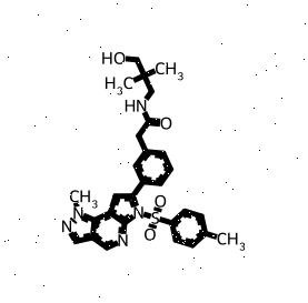 Cc1ccc(S(=O)(=O)n2c(-c3cccc(CC(=O)NCC(C)(C)CO)c3)cc3c4c(cnc32)cnn4C)cc1